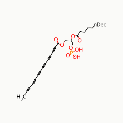 CC#CC#CC#CC#CC#CC#CC(=O)OC[C@@H](COP(=O)(O)O)OC(=O)CCCCCCCCCCCCCC